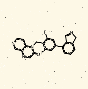 O=c1cnc2cnccc2n1Cc1c(F)cc(-c2cccc3c2C=NC3)cc1F